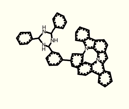 c1ccc(C2NC(c3ccccc3)NC(c3cccc(-c4cccc(-n5c6ccccc6c6ccc7cc8c9ccccc9c9ccccc9n8c7c65)c4)c3)N2)cc1